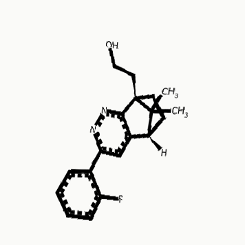 CC1(C)[C@@H]2CC[C@@]1(CCO)c1nnc(-c3ccccc3F)cc12